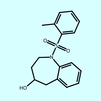 Cc1ccccc1S(=O)(=O)N1CCC(O)Cc2ccccc21